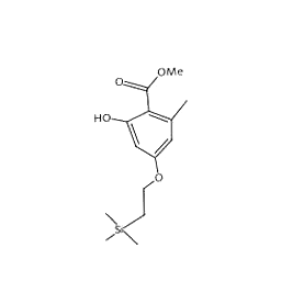 COC(=O)c1c(C)cc(OCC[Si](C)(C)C)cc1O